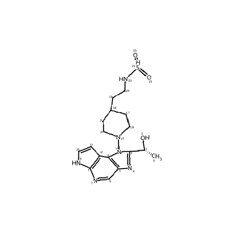 C[C@@H](O)c1nc2cnc3[nH]ccc3c2n1N1CCC(CCN[SH](=O)=O)CC1